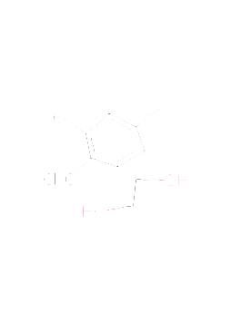 Cc1ccc(C(Cl)(Cl)Cl)c(Cl)c1.OCCO